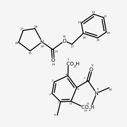 Cc1ccc(C(=O)O)c(C(=O)N(C)C)c1C(=O)O.O=C(OCc1ccccc1)N1CCCC1